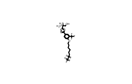 C[C@](N)(CO)c1nnc(-c2ccc(OCCCCCCC(F)(F)C(F)(F)F)c(C(F)(F)F)c2)s1